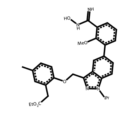 CCOC(=O)Cc1cc(C)ccc1OCc1nn(C(C)C)c2ccc(-c3cccc(C(=N)NO)c3OC)cc12